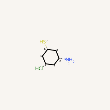 Cl.N[C@@H]1CCC[C@H](S)C1